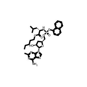 CCCCCOC(=O)[C@H](CC(C)C)NP(=O)(OC[C@@H]1C[C@H](O)[C@H](n2cnc3c(N)nc(C)nc32)O1)Oc1cccc2ccccc12